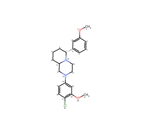 COc1cccc([C@H]2CCCC3CN(c4ccc(Cl)c(OC)c4)CCN32)c1